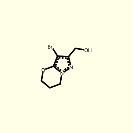 OCc1nn2c(c1Br)OCCC2